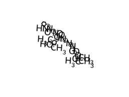 Cc1cc(C[C@@H](OC(=O)N2CCC(N3CCc4ccccc4NC3=O)CC2)C(=O)N2CCC(N3CCN(CC(=O)OCOC(=O)C(C)(C)C)CC3)CC2)cc(C)c1O